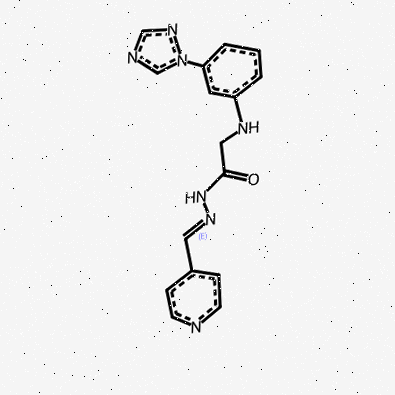 O=C(CNc1cccc(-n2cncn2)c1)N/N=C/c1ccncc1